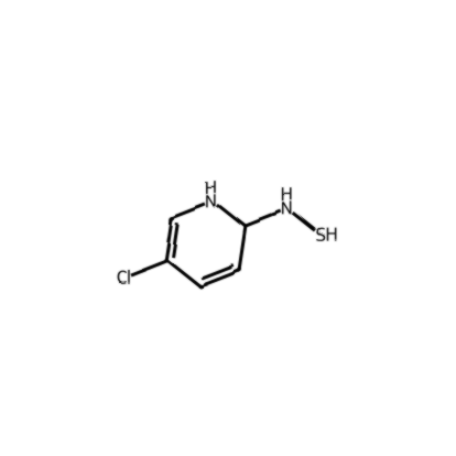 SNC1C=CC(Cl)=CN1